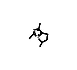 Cc1nc(C)n2c1CCC2C